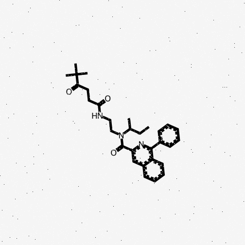 CCC(C)N(CCNC(=O)CCC(=O)C(C)(C)C)C(=O)c1cc2ccccc2c(-c2ccccc2)n1